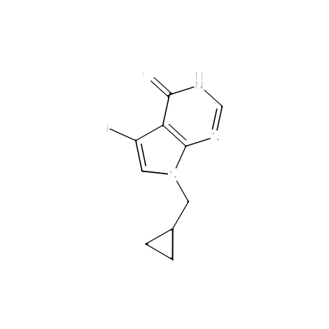 O=c1[nH]cnc2c1c(I)cn2CC1CC1